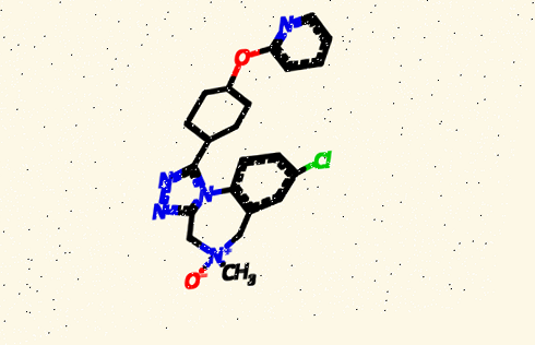 C[N+]1([O-])Cc2cc(Cl)ccc2-n2c(nnc2C2CCC(Oc3ccccn3)CC2)C1